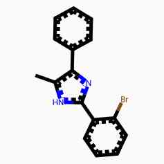 Cc1[nH]c(-c2ccccc2Br)nc1-c1ccccc1